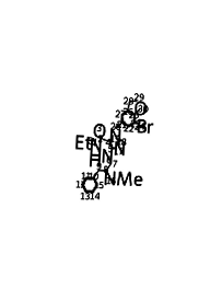 CCNC(=O)c1c(NC[C@@H](Cc2ccccc2)NC)ncn1Cc1cc(Br)c2c(c1)CCO2